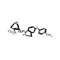 Cc1ccc(Sc2ccc3c(c2)CCN[C@H]3CNc2cnccc2C(=O)O)cc1